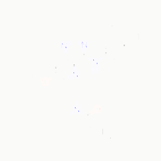 C=CC(=O)N1CCC[C@H](c2nc3c(Nc4ccc(Cl)c(Cl)c4F)ncnc3cc2OC)C1